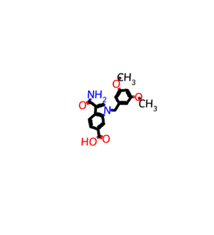 COc1cc(Cn2cc(C(N)=O)c3ccc(C(=O)O)cc32)cc(OC)c1